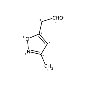 Cc1cc(C[C]=O)on1